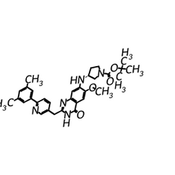 COc1cc2c(=O)[nH]c(Cc3ccc(-c4cc(C)cc(C)c4)nc3)nc2cc1N[C@@H]1CCN(C(=O)OC(C)(C)C)C1